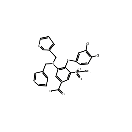 NS(=O)(=O)c1cc(C(=O)O)cc(N(Cc2cccnc2)Cc2cccnc2)c1Oc1ccc(Cl)c(Cl)c1